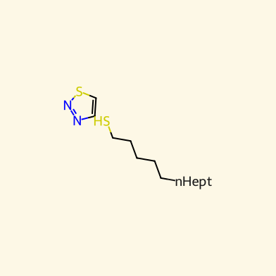 CCCCCCCCCCCCS.c1csnn1